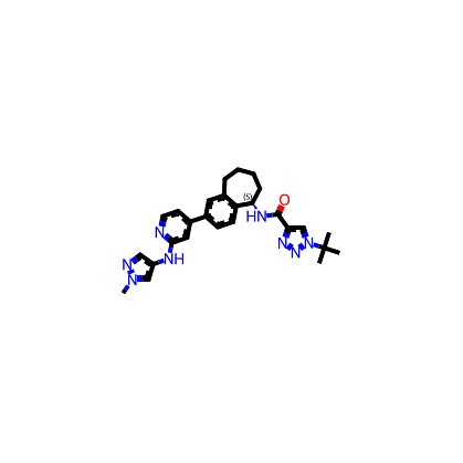 Cn1cc(Nc2cc(-c3ccc4c(c3)CCCC[C@@H]4NC(=O)c3cn(C(C)(C)C)nn3)ccn2)cn1